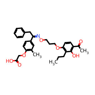 CCCc1c(OCCCON=C(Cc2ccccc2)c2ccc(OCC(=O)O)c(C)c2)ccc(C(C)=O)c1O